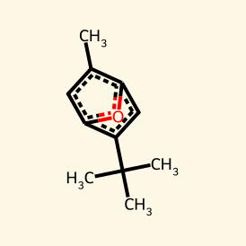 Cc1cc2oc1cc2C(C)(C)C